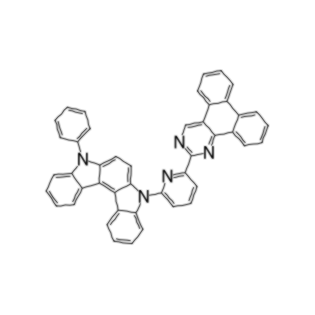 c1ccc(-n2c3ccccc3c3c4c5ccccc5n(-c5cccc(-c6ncc7c8ccccc8c8ccccc8c7n6)n5)c4ccc32)cc1